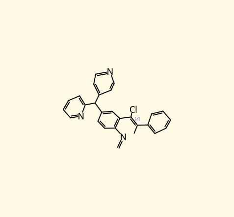 C=Nc1ccc(C(c2ccncc2)c2ccccn2)cc1/C(Cl)=C(\C)c1ccccc1